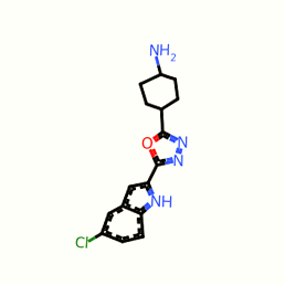 NC1CCC(c2nnc(-c3cc4cc(Cl)ccc4[nH]3)o2)CC1